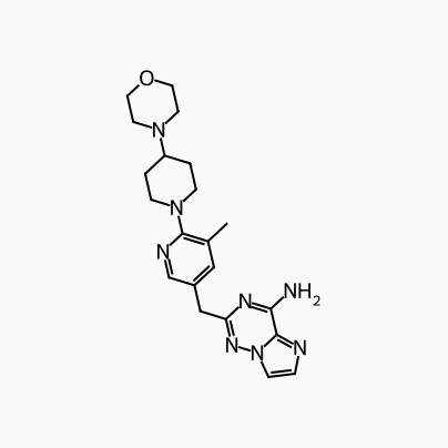 Cc1cc(Cc2nc(N)c3nccn3n2)cnc1N1CCC(N2CCOCC2)CC1